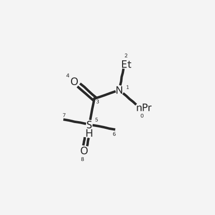 CCCN(CC)C(=O)[SH](C)(C)=O